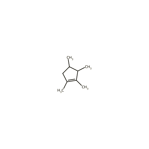 C[C]1CC(C)=C(C)C1C